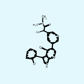 CN(C)C(=O)C(O)c1cncc(-c2cnc3[nH]cc(-c4ccccc4Cl)c3c2Cl)c1